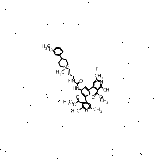 COC(=O)c1c(C2=CC(NC(=O)NCCC[N+]3(C)CCC(c4cccc(OC)c4)CC3)C=C(c3cc(C)nc(C)c3C(=O)OC)C2)cc(C)nc1C.[I-]